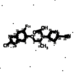 C[C@H](COc1cc2sc(Cl)nc2cc1F)N(C(=O)O)c1ccc(C#N)nc1